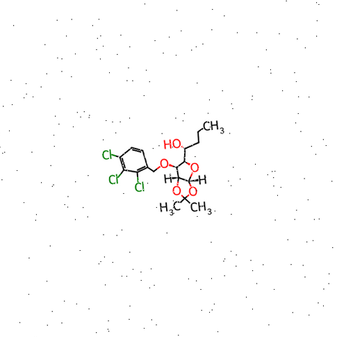 CCC[C@@H](O)[C@H]1O[C@@H]2OC(C)(C)O[C@@H]2[C@H]1OCc1ccc(Cl)c(Cl)c1Cl